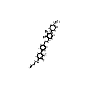 C=CCCOc1ccc(-c2ccc(CCc3ccc(C4CCC(OCC)CC4)c(F)c3F)cc2)c(F)c1F